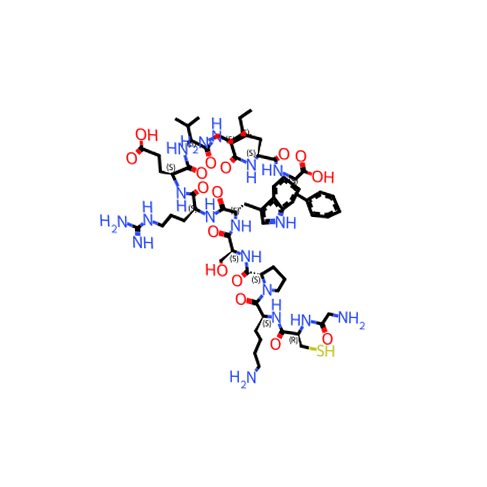 CC[C@H](C)[C@H](NC(=O)[C@@H](NC(=O)[C@H](CCC(=O)O)NC(=O)[C@H](CCCNC(=N)N)NC(=O)[C@H](Cc1c[nH]c2ccccc12)NC(=O)[C@H](CO)NC(=O)[C@@H]1CCCN1C(=O)[C@H](CCCCN)NC(=O)[C@H](CS)NC(=O)CN)C(C)C)C(=O)N[C@@H](CCCCN)C(=O)N[C@@H](Cc1ccccc1)C(=O)O